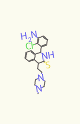 CN1CCN(CCC2C(=S)NC(c3cccc(N)c3Cl)c3ccccc32)CC1